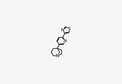 c1nc(-c2ccc(C34CCCN(CC3)C4)cn2)cs1